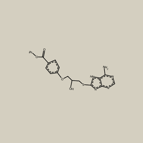 CC(C)OC(=O)c1ccc(OCC(O)CSc2nc3ncnc(N)c3[nH]2)cc1